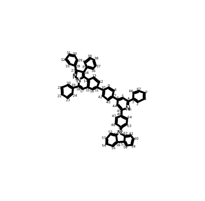 c1ccc(-c2cc(-c3ccc(-c4ccc5c(c4)cc(-c4ccccc4)n4nc(-c6ccccc6)c(-c6ccccc6)c54)cc3)cc(-c3ccc(-n4c5ccccc5c5ccccc54)cc3)n2)cc1